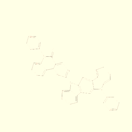 O=c1c2cnc(-n3c4ccccc4c4cc5c(cc43)c3ccccc3n5-c3ccccc3)nc2c2ccccc2n1-c1ccccc1